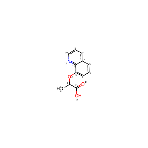 CC(Oc1cccc2cccnc12)C(=O)O